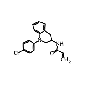 C=CC(=O)NC1Cc2ccccc2N(c2ccc(Cl)cc2)C1